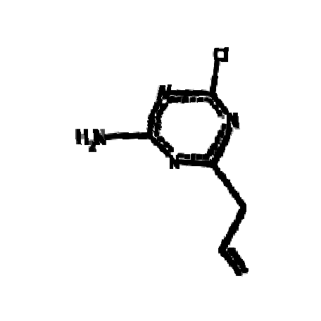 C=CCc1nc(N)nc(Cl)n1